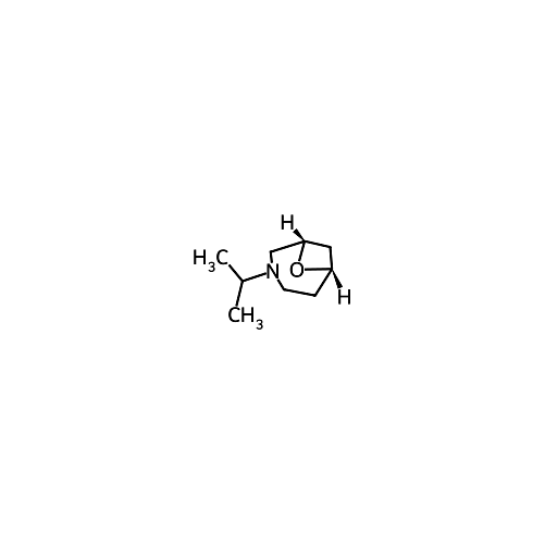 CC(C)N1CC[C@H]2C[C@@H](C1)O2